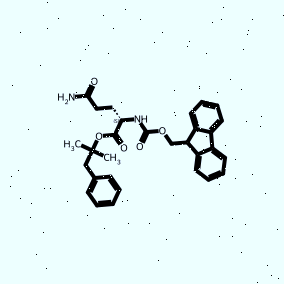 CC(C)(Cc1ccccc1)OC(=O)[C@H](CCC(N)=O)NC(=O)OCC1c2ccccc2-c2ccccc21